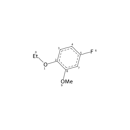 CCOc1ccc(F)cc1OC